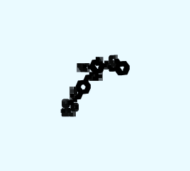 CC(C)(C)OC(=O)NCC1CCC(CNc2cc(NCc3ccccc3Cl)ncc2C#N)CC1